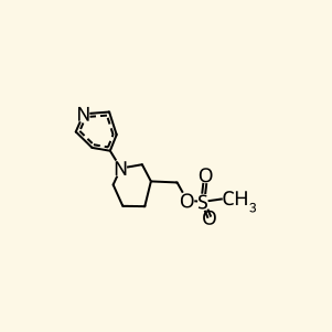 CS(=O)(=O)OCC1CCCN(c2ccncc2)C1